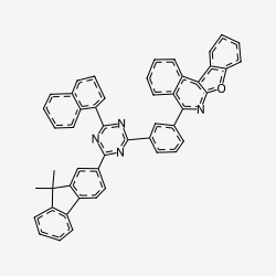 CC1(C)c2ccccc2-c2ccc(-c3nc(-c4cccc(-c5nc6oc7ccccc7c6c6ccccc56)c4)nc(-c4cccc5ccccc45)n3)cc21